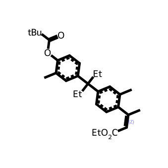 CCOC(=O)/C=C(/C)c1ccc(C(CC)(CC)c2ccc(OC(=O)C(C)(C)C)c(C)c2)cc1C